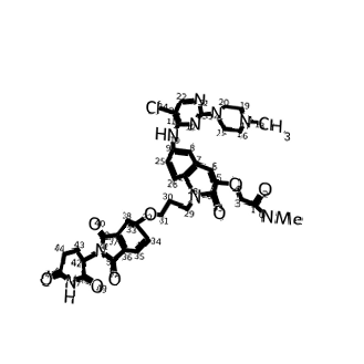 CNC(=O)COc1cc2cc(Nc3nc(N4CCN(C)CC4)ncc3Cl)ccc2n(CCCOc2ccc3c(c2)C(=O)N(C2CCC(=O)NC2=O)C3=O)c1=O